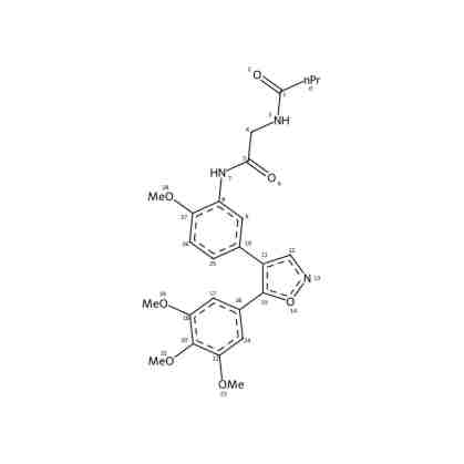 CCCC(=O)NCC(=O)Nc1cc(-c2cnoc2-c2cc(OC)c(OC)c(OC)c2)ccc1OC